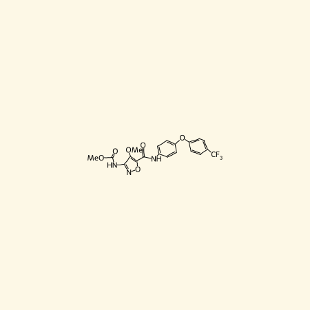 COC(=O)Nc1noc(C(=O)Nc2ccc(Oc3ccc(C(F)(F)F)cc3)cc2)c1OC